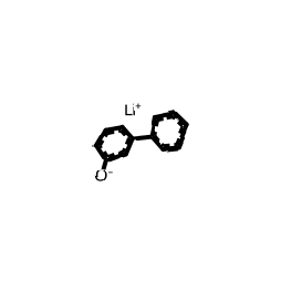 [Li+].[O-]c1cccc(-c2ccccc2)c1